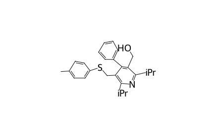 Cc1ccc(SCc2c(C(C)C)nc(C(C)C)c(CO)c2-c2ccccc2)cc1